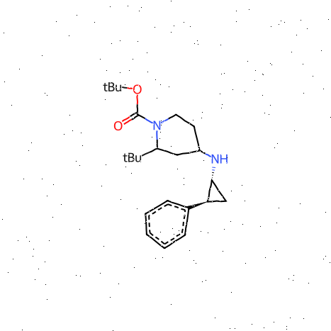 CC(C)(C)OC(=O)N1CCC(N[C@@H]2C[C@H]2c2ccccc2)CC1C(C)(C)C